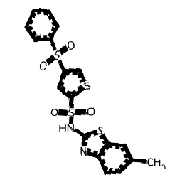 Cc1ccc2nc(NS(=O)(=O)c3cc(S(=O)(=O)c4ccccc4)cs3)sc2c1